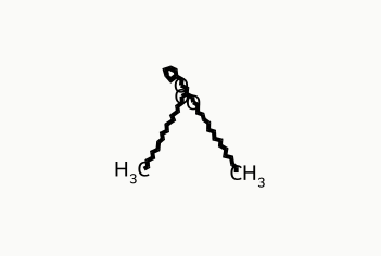 CCCCCCCCCCCCCCCCOCC(COCc1ccccc1)OCCCCCCCCCCCCCCCC